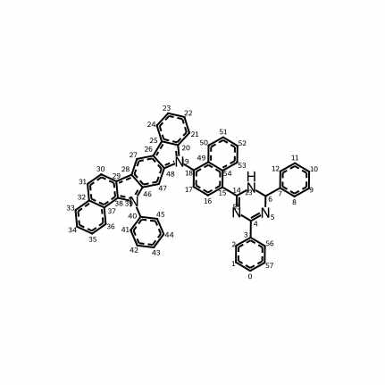 c1ccc(C2=NC(c3ccccc3)NC(c3ccc(-n4c5ccccc5c5cc6c7ccc8ccccc8c7n(-c7ccccc7)c6cc54)c4ccccc34)=N2)cc1